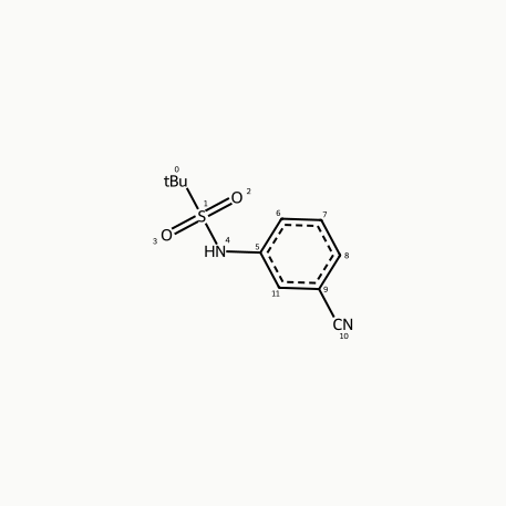 CC(C)(C)S(=O)(=O)Nc1cccc(C#N)c1